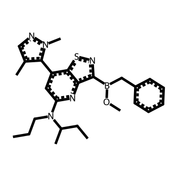 CCCN(c1cc(-c2c(C)cnn2C)c2snc(B(Cc3ccccc3)OC)c2n1)C(C)CC